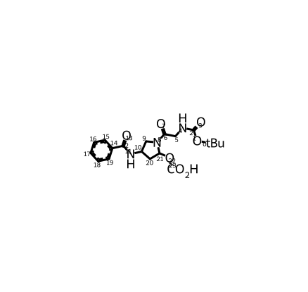 CC(C)(C)OC(=O)NCC(=O)N1CC(NC(=O)c2ccccc2)CC1OC(=O)O